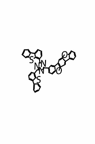 c1ccc2c(c1)oc1cc3c(cc12)oc1ccc(-c2nc(-c4cccc5c4sc4ccccc45)nc(-c4cccc5c4sc4ccccc45)n2)cc13